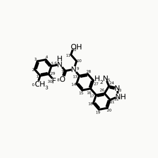 Cc1cccc(NC(=O)N(CCO)c2ccc(-c3cccc4[nH]nc(N)c34)cc2)c1F